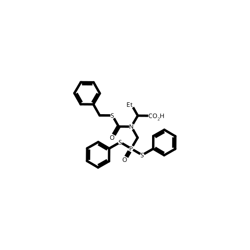 CCC(C(=O)O)N(CP(=O)(Sc1ccccc1)Sc1ccccc1)C(=O)SCc1ccccc1